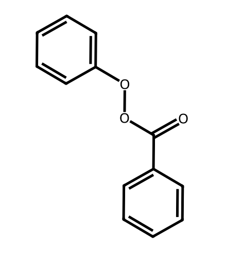 O=C(OOc1ccccc1)c1ccccc1